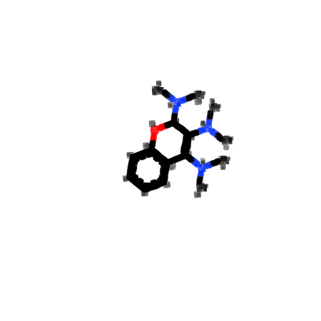 CC(C)N(C1=C(N(C(C)C)C(C)C)C(N(C(C)C)C(C)C)Oc2ccccc21)C(C)C